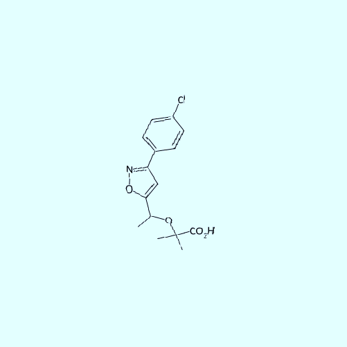 CC(OC(C)(C)C(=O)O)c1cc(-c2ccc(Cl)cc2)no1